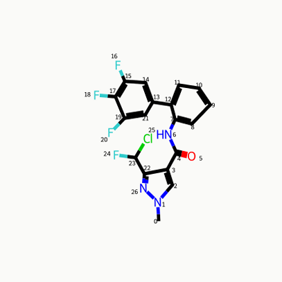 Cn1cc(C(=O)Nc2ccccc2-c2cc(F)c(F)c(F)c2)c(C(F)Cl)n1